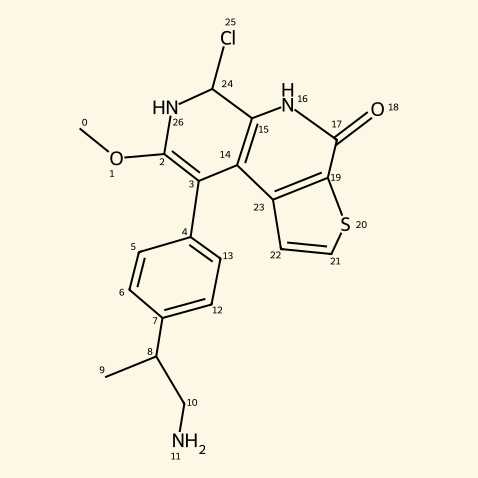 COC1=C(c2ccc(C(C)CN)cc2)c2c([nH]c(=O)c3sccc23)C(Cl)N1